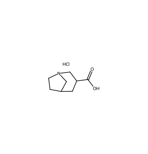 Cl.O=C(O)C1CC2CCN(C2)C1